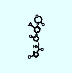 O=C(NC[C@@H]1CC(=O)N(c2ccc(N3CCOCCC3=O)c(C3CC3)c2)C1)c1ccc(Cl)s1